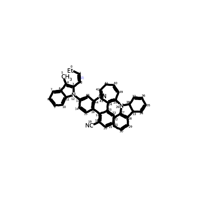 CC/C=C\c1c(C)c2ccccc2n1-c1ccc(-c2c(C#N)cccc2C2=C(N3C4=C(C=CCC4)C4C=CC=CC43)C=CCC=C2)c(C#N)c1